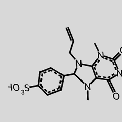 C=CCN1c2c(c(=O)[nH]c(=O)n2C)N(C)C1c1ccc(S(=O)(=O)O)cc1